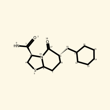 [NH]C(=O)[C@@H]1CSC2CC[C@@H](CC3CCCCC3)C(=O)N21